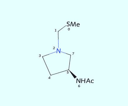 CSCN1CC[C@H](NC(C)=O)C1